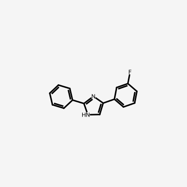 Fc1cccc(-c2c[nH]c(-c3ccccc3)n2)c1